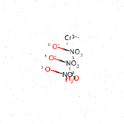 O.O=[N+]([O-])[O-].O=[N+]([O-])[O-].O=[N+]([O-])[O-].[Cr+3]